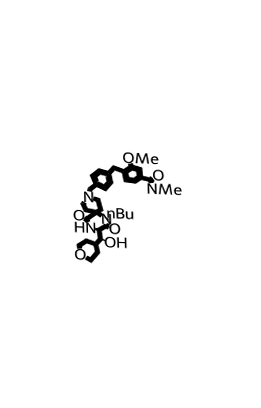 CCCCN1C(=O)[C@@H]([C@H](O)C2CCOCC2)NC(=O)C12CCN(Cc1ccc(Cc3ccc(C(=O)NC)cc3OC)cc1)CC2